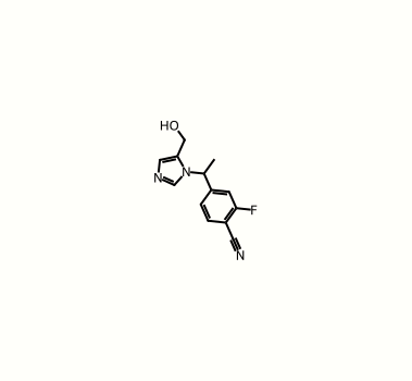 CC(c1ccc(C#N)c(F)c1)n1cncc1CO